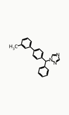 Cc1cccc(-c2ccc(C(c3ccccc3)n3cncn3)cc2)c1